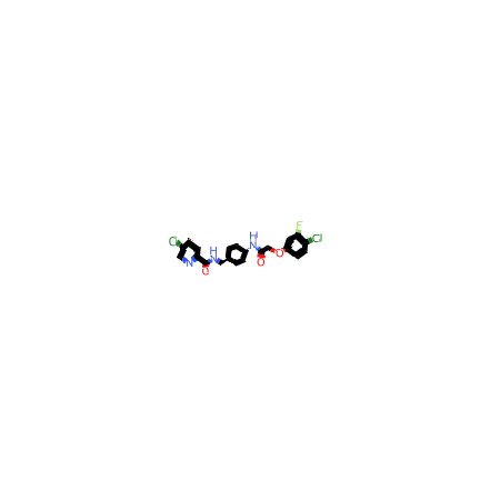 O=C(COc1ccc(Cl)c(F)c1)N[C@H]1CC[C@H](CNC(=O)c2ccc(Cl)cn2)CC1